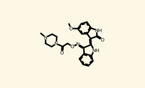 COc1ccc2c(c1)/C(=C1/Nc3ccccc3/C1=N\OCC(=O)N1CCN(C)CC1)C(=O)N2